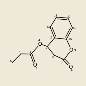 CCC(=O)OC1CC(=O)Oc2ccccc21